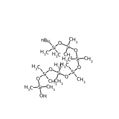 CCCC[Si](C)(C)O[Si](C)(C)O[Si](C)(C)O[Si](C)(C)O[Si](C)(C)O[Si](C)(C)O[Si](C)(C)O